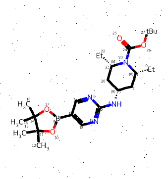 CC[C@@H]1C[C@H](Nc2ncc(B3OC(C)(C)C(C)(C)O3)cn2)C[C@H](CC)N1C(=O)OC(C)(C)C